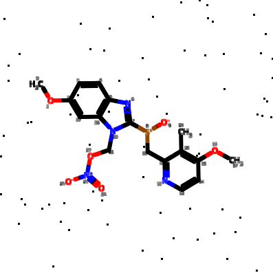 COc1ccc2nc([S+]([O-])Cc3nccc(OC)c3C)n(CO[N+](=O)[O-])c2c1